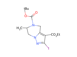 CCOC(=O)c1c(I)nn2c1CN(C(=O)OC(C)(C)C)C(C)C2